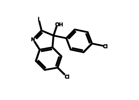 OC1(c2ccc(Cl)cc2)C(I)=Nc2ccc(Cl)cc21